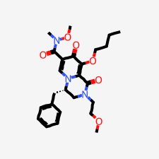 CCCCOc1c2n(cc(C(=O)N(C)OC)c1=O)[C@@H](Cc1ccccc1)CN(CCOC)C2=O